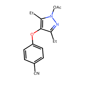 CCc1nn(OC(C)=O)c(CC)c1Oc1ccc(C#N)cc1